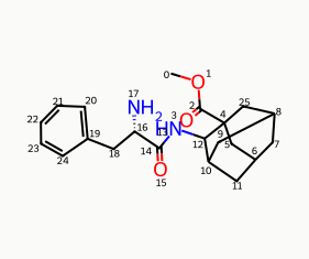 COC(=O)C12CC3CC(CC(C3)C1NC(=O)[C@@H](N)Cc1ccccc1)C2